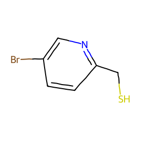 SCc1ccc(Br)cn1